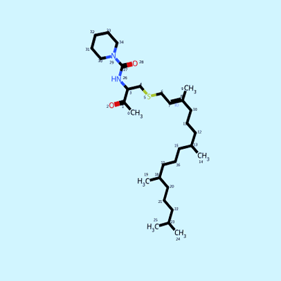 CC(=O)C(CSC/C=C(\C)CCCC(C)CCCC(C)CCCC(C)C)NC(=O)N1CCCCC1